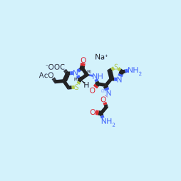 CC(=O)OCC1=C(C(=O)[O-])N2C(=O)[C@@H](NC(=O)/C(=N\OCC(N)=O)c3csc(N)n3)[C@H]2SC1.[Na+]